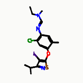 CCN(C)C=Nc1cc(C)c(Oc2snc(C(C)C)c2I)cc1Cl